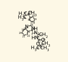 C=C(NCc1nc(-c2cccc(C(C)(C)C)c2)nc2ccccc12)NC(=O)OC(C)(C)C